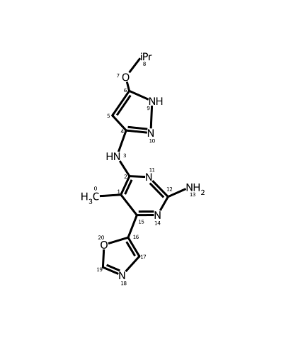 Cc1c(Nc2cc(OC(C)C)[nH]n2)nc(N)nc1-c1cnco1